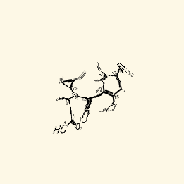 C=C(C(=O)O)N(C(=O)c1cc(F)c(F)cc1Cl)C1CC1